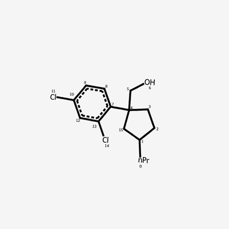 CCCC1CCC(CO)(c2ccc(Cl)cc2Cl)C1